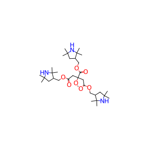 COC(CC(=O)OCC1CC(C)(C)NC1(C)C)(CC(=O)OCC1CC(C)(C)NC1(C)C)C(=O)OCC1CC(C)(C)NC1(C)C